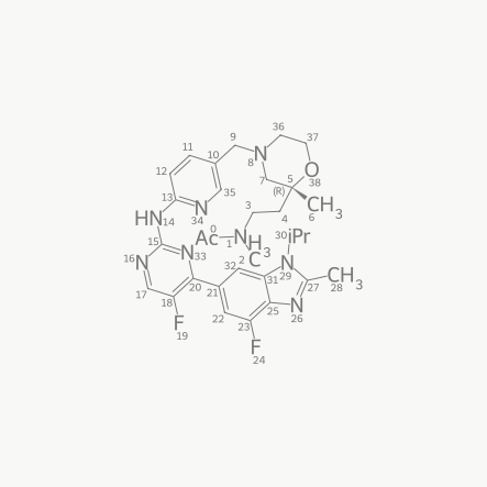 CC(=O)N(C)CC[C@]1(C)CN(Cc2ccc(Nc3ncc(F)c(-c4cc(F)c5nc(C)n(C(C)C)c5c4)n3)nc2)CCO1